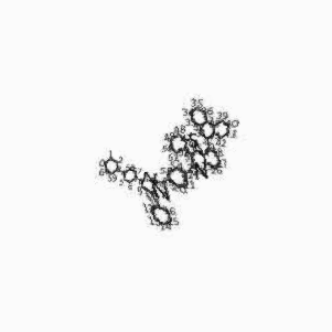 c1ccc(-c2ccc(-c3cc(-c4ccccc4)nc(-c4ccc(-c5nc6cccc(-c7cc8ccccc8c8ccccc78)c6c6sc7ccccc7c56)cc4)n3)cc2)cc1